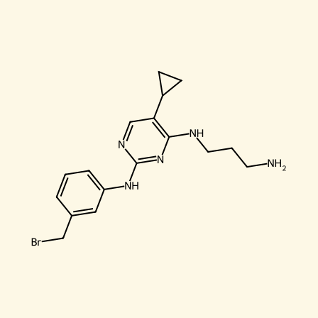 NCCCNc1nc(Nc2cccc(CBr)c2)ncc1C1CC1